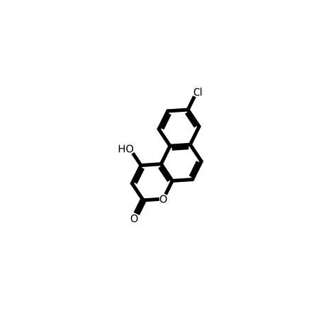 O=c1cc(O)c2c(ccc3cc(Cl)ccc32)o1